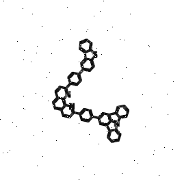 c1ccc2c(c1)sc1ccc(-c3ccc(-c4ccc5ccc6ccc(-c7ccc(-c8cc9c%10ccccc%10n%10c%11ccccc%11c(c8)c9%10)cc7)nc6c5n4)cc3)cc12